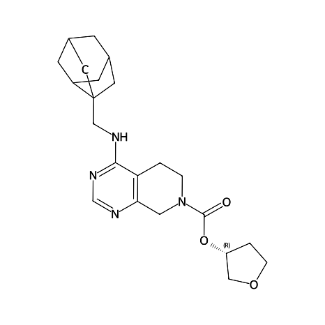 O=C(O[C@@H]1CCOC1)N1CCc2c(ncnc2NCC23CC4CC(CC2C4)C3)C1